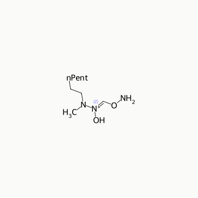 CCCCCCCN(C)/[N+](O)=C/ON